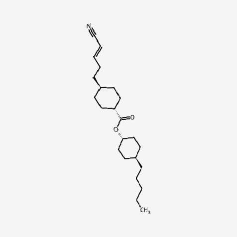 CCCCC[C@H]1CC[C@H](OC(=O)[C@H]2CC[C@H](CCC=CC#N)CC2)CC1